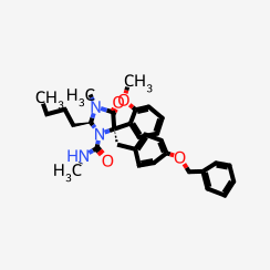 CCCC[C@H]1N(C)C(=O)[C@@](Cc2ccc(OCc3ccccc3)cc2)(c2ccccc2OC)N1C(=O)NC